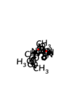 CCCCc1nc(Cl)c(C(=O)OC(C)OC(=O)OCC)n1Cc1c2ccocc-2c(Br)c1-c1ccccc1-c1nnn[nH]1